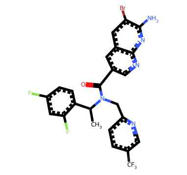 CC(c1ccc(F)cc1F)N(Cc1ccc(C(F)(F)F)cn1)C(=O)c1cnc2nc(N)c(Br)cc2c1